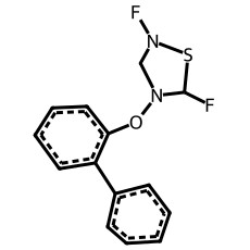 FC1SN(F)CN1Oc1ccccc1-c1ccccc1